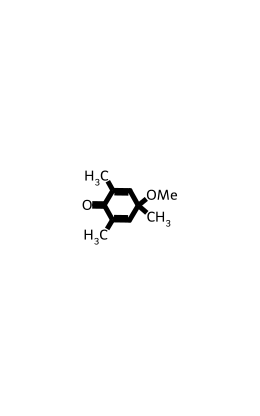 COC1(C)C=C(C)C(=O)C(C)=C1